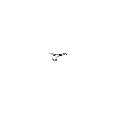 N=C=S.O